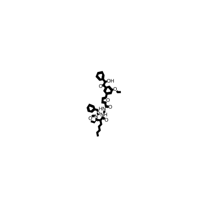 CCCCCC(C(=O)NCNC(=O)c1ccc(-c2cc(OCC)cc(C(=O)C(O)c3ccccc3)c2)o1)[C@@H](CC)N(C=O)OCc1ccccc1